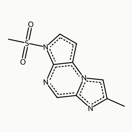 Cc1cn2c(cnc3c2ccn3S(C)(=O)=O)n1